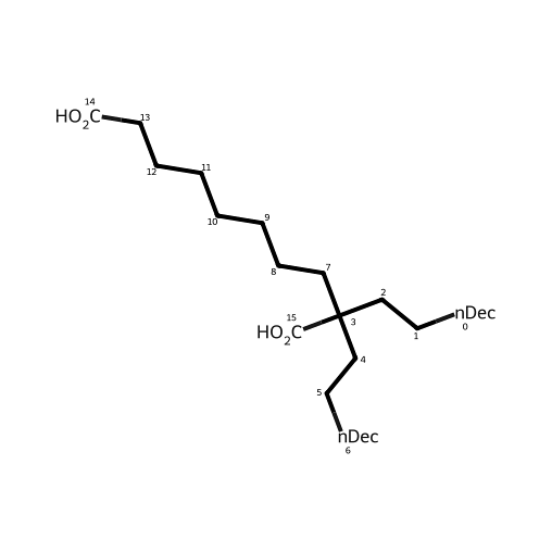 CCCCCCCCCCCCC(CCCCCCCCCCCC)(CCCCCCCC(=O)O)C(=O)O